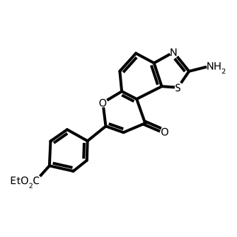 CCOC(=O)c1ccc(-c2cc(=O)c3c(ccc4nc(N)sc43)o2)cc1